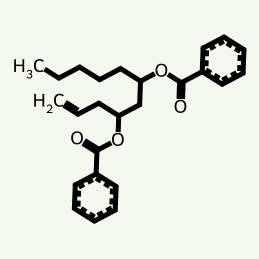 C=CCC(CC(CCCCC)OC(=O)c1ccccc1)OC(=O)c1ccccc1